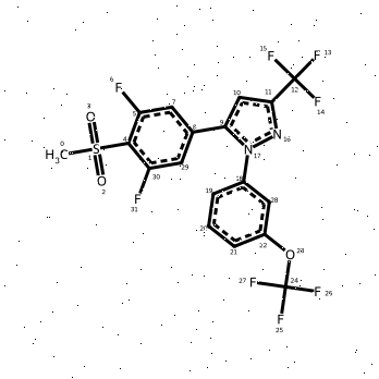 CS(=O)(=O)c1c(F)cc(-c2cc(C(F)(F)F)nn2-c2cccc(OC(F)(F)F)c2)cc1F